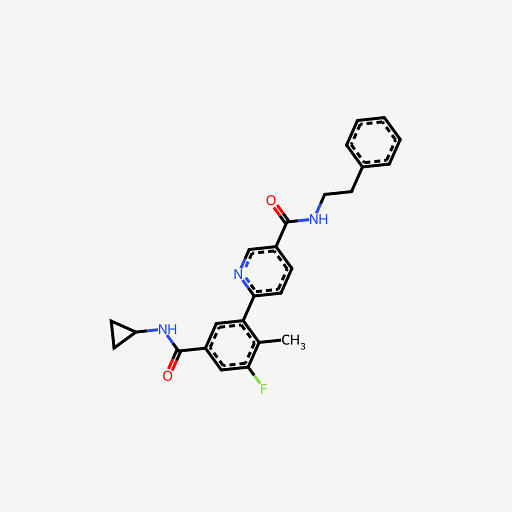 Cc1c(F)cc(C(=O)NC2CC2)cc1-c1ccc(C(=O)NCCc2ccccc2)cn1